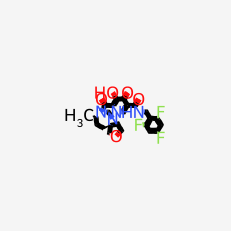 C[C@H]1CC[C@]2(CCOC2)N2CN1C(=O)c1c(O)c(=O)c(C(=O)NCc3c(F)cc(F)cc3F)cn12